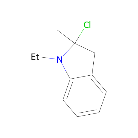 CCN1c2ccccc2CC1(C)Cl